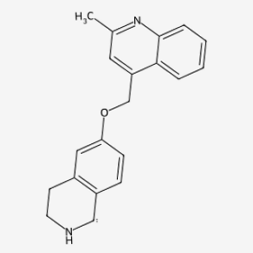 Cc1cc(COc2ccc3c(c2)CCN[C]3)c2ccccc2n1